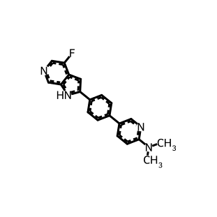 CN(C)c1ccc(-c2ccc(-c3cc4c(F)cncc4[nH]3)cc2)cn1